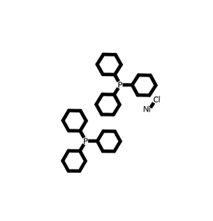 C1CCC(P(C2CCCCC2)C2CCCCC2)CC1.C1CCC(P(C2CCCCC2)C2CCCCC2)CC1.[Cl][Ni]